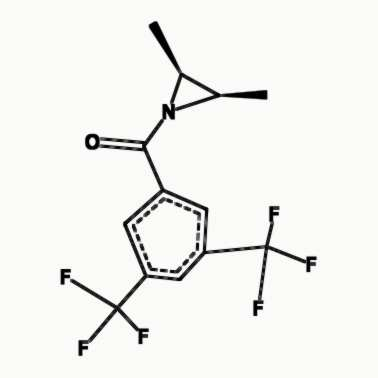 C[C@@H]1[C@H](C)N1C(=O)c1cc(C(F)(F)F)cc(C(F)(F)F)c1